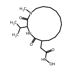 CC(C)C1NC(=O)C(CC(=O)NO)CCCCCCCCCN(C)C1=O